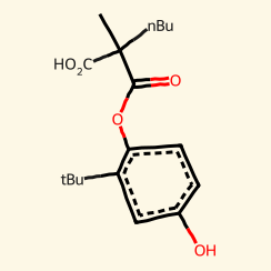 CCCCC(C)(C(=O)O)C(=O)Oc1ccc(O)cc1C(C)(C)C